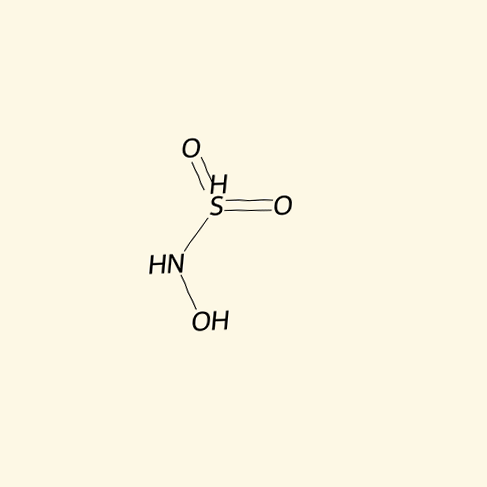 O=[SH](=O)NO